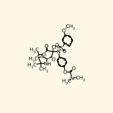 COc1cccc(S(=O)(=O)N(c2ccc(OC(=O)N(C)C)cc2)[C@@](C)(C(=O)OC(C)C)C(=O)[C@H]2NC(C)(C)CS2)c1